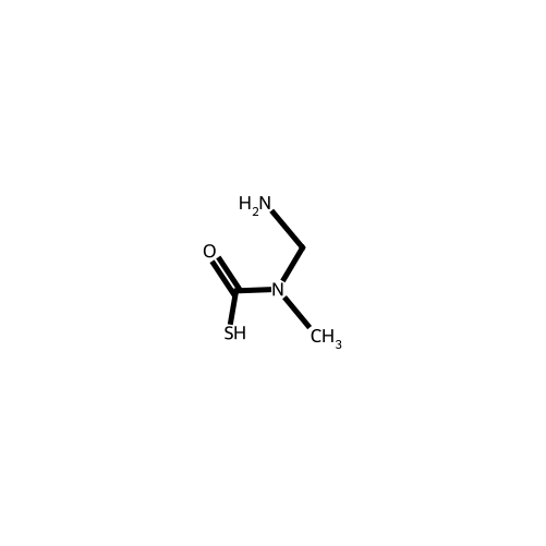 CN(CN)C(=O)S